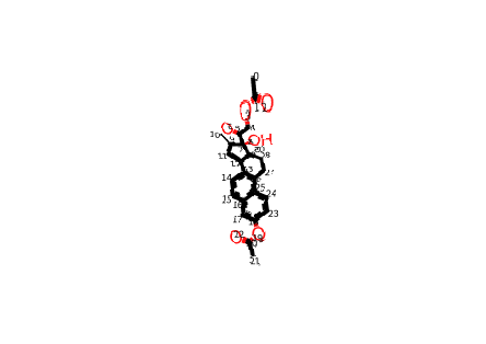 CC(=O)OCC(=O)[C@@]1(O)[C@H](C)C=C2c3ccc4cc(OC(C)=O)ccc4c3CC[C@@]21C